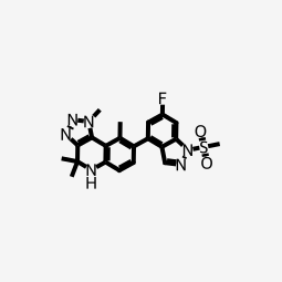 Cc1c(-c2cc(F)cc3c2cnn3S(C)(=O)=O)ccc2c1-c1c(nnn1C)C(C)(C)N2